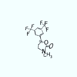 CN1CC[C@@H](c2cc(C(F)(F)F)cc(C(F)(F)F)c2)OC1=O